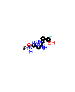 CC(C)C(=O)Nc1cncc(-c2ccc3[nH]nc(-c4cc5c(-c6cc(O)cc(F)c6)cccc5[nH]4)c3n2)c1